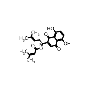 CC(C)=CC[C@H](OC(=O)C=C(C)C)C1=CC(=O)c2c(O)ccc(O)c2C1=O